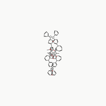 CC1=CC2=C(C=CC=CC2c2ccc(Oc3ccccc3)cc2)[C]12C(C)[C]1(C(C)=CC3=C1C=CC=CC3c1ccc(Oc3ccccc3)cc1)[Zr]21([Cl])([Cl])[C]2(C(C)=CC3=C2C=CC=CC3c2ccc(Oc3ccccc3)cc2)C(C)[C]12C(C)=CC1=C2C=CC=CC1c1ccc(Oc2ccccc2)cc1